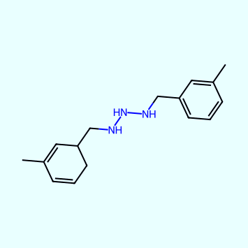 CC1=CC(CNNNCc2cccc(C)c2)CC=C1